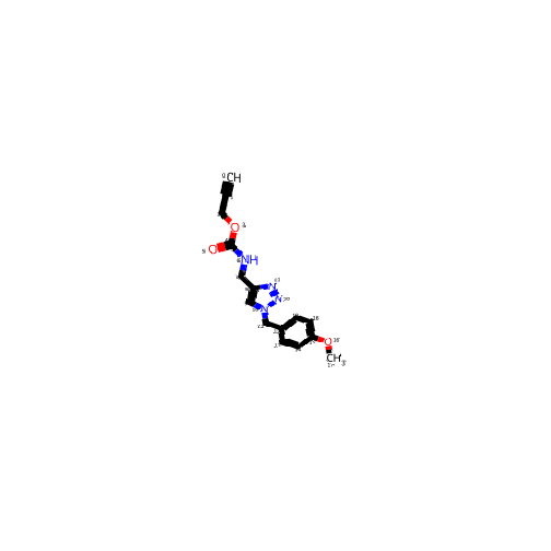 C#CCOC(=O)NCc1cn(Cc2ccc(OC)cc2)nn1